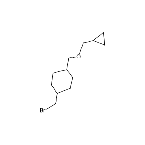 BrCC1CCC(COCC2CC2)CC1